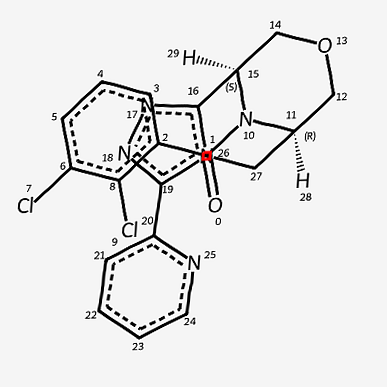 O=C(c1cccc(Cl)c1Cl)N1[C@H]2COC[C@@H]1c1nnc(-c3ccccn3)n1C2